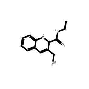 CCOC(=O)C1Oc2ccccc2C=C1CO